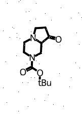 CC(C)(C)OC(=O)N1CCN2CCC(=O)C2C1